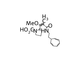 CO[C@H]([C@@H](C)C(=O)NCCC1C=CC=CC=C1)[C@@H]1CCCN1C(=O)O